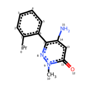 CC(C)c1ccccc1-c1nn(C)c(=O)cc1N